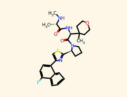 CN[C@@H](C)C(=O)N[C@H](C(=O)N1CCC[C@H]1c1nc(-c2ccc(F)c3ccccc23)cs1)C1(C)CCOCC1